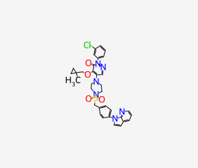 CC1(COc2c(N3CCN(S(=O)(=O)Cc4ccc(-n5ccc6cccnc65)cc4)CC3)cnn(-c3cccc(Cl)c3)c2=O)CC1